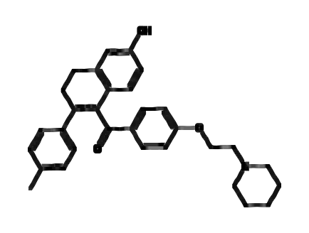 Cc1ccc(C2=C(C(=O)c3ccc(OCCN4CCCCC4)cc3)c3ccc(O)cc3CC2)cc1